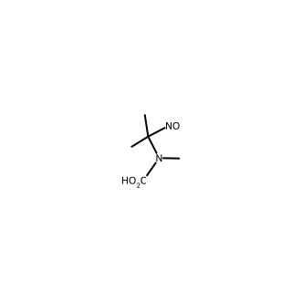 CN(C(=O)O)C(C)(C)N=O